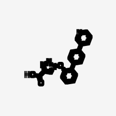 O=C(O)c1cn(Oc2ccccc2-c2ccc(-c3cccnc3)cc2)nn1